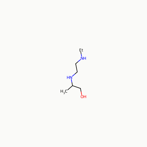 CCNCCNC(C)CO